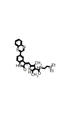 CCN(CC)CCNC(=O)c1c(C)[nH]c(/C=C2\C(=O)Nc3ccc(-c4cnc5ccccc5n4)cc32)c1C